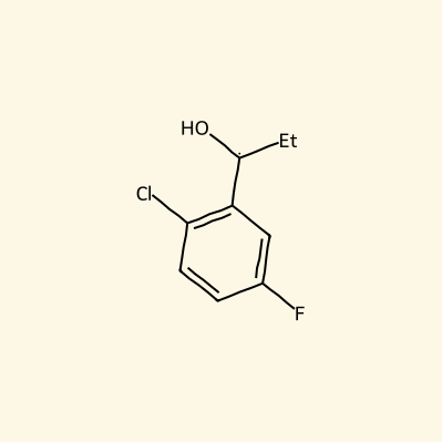 CC[C](O)c1cc(F)ccc1Cl